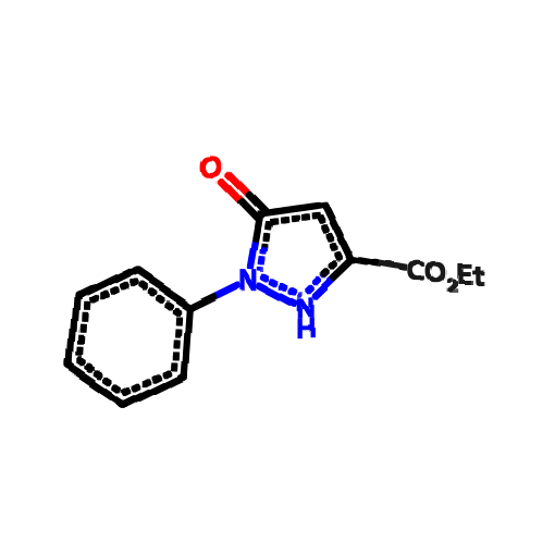 CCOC(=O)c1cc(=O)n(-c2ccccc2)[nH]1